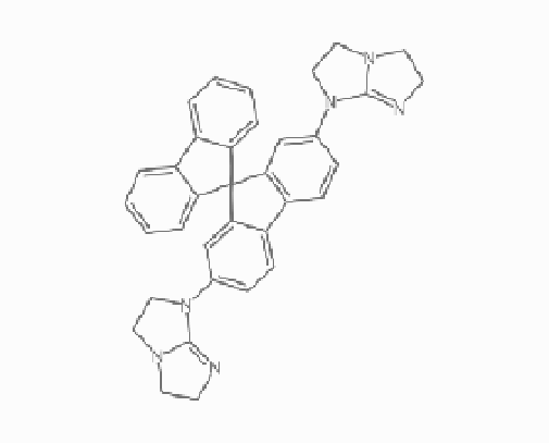 c1ccc2c(c1)-c1ccccc1C21c2cc(N3CCN4CCN=C43)ccc2-c2ccc(N3CCN4CCN=C43)cc21